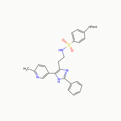 CCCCCc1ccc(S(=O)(=O)NCCc2nc(-c3ccccc3)[nH]c2-c2ccc(C)nc2)cc1